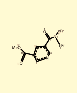 CCCN(CCC)C(=O)c1cncc(C(=O)OC)c1